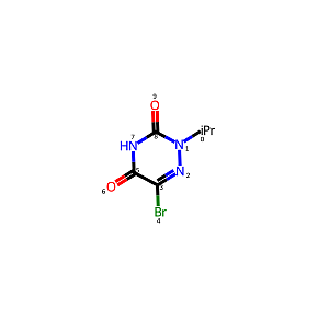 CC(C)n1nc(Br)c(=O)[nH]c1=O